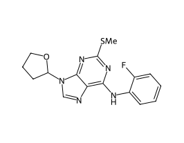 CSc1nc(Nc2ccccc2F)c2ncn(C3CCCO3)c2n1